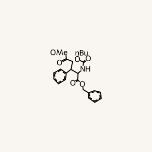 CCCCOC(=O)NC(C(=O)OCc1ccccc1)C(CC(=O)OC)c1ccccc1